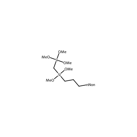 CCCCCCCCCCCC[Si](C[Si](OC)(OC)OC)(OC)OC